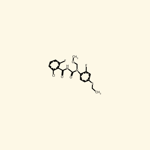 CCSc1ccc(N(COC)C(=O)NC(=O)c2c(F)cccc2Cl)c(F)c1